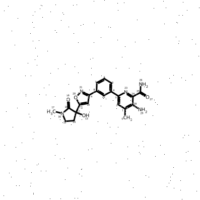 Cc1cc(-c2cccc(-c3cc(C4(O)CCN(C)C4=O)on3)c2)nc(C(N)=O)c1N